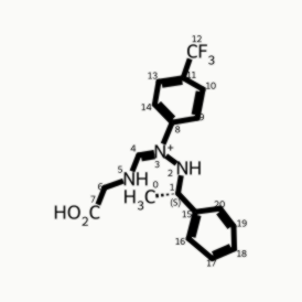 C[C@H](N[N+](=CNCC(=O)O)c1ccc(C(F)(F)F)cc1)c1ccccc1